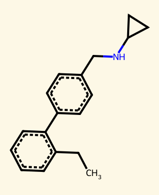 CCc1ccccc1-c1ccc(CNC2CC2)cc1